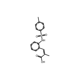 CC(=Cc1ccccc1NS(=O)(=O)c1ccc(C)cc1)C(=O)O